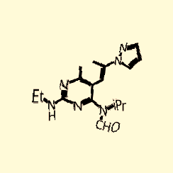 CCNc1nc(C)c(/C=C(\C)n2cccn2)c(N(C=O)C(C)C)n1